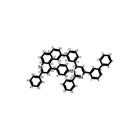 C1=C(c2cccc(-c3ccccc3)c2)N=C(c2ccccc2)NC1c1cccc(-c2ccc3ccc4nc(-c5ccccc5)cc(-c5ccccc5)c4c3c2)c1